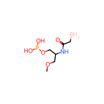 BCC(=O)NC(COC)COP(O)O